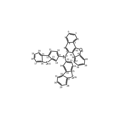 c1ccc2c(c1)cc(N(c1ccc3c(c1)sc1ccccc13)c1ccc3sc4ccccc4c3c1)c1c3ccccc3oc21